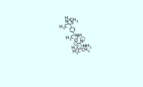 CS/C(=C(/C)N)c1ccc([C@H](C)NC(=O)[C@@H]2CCCN2C(=C2CCC2)[C@@H](N)C(C)(C)C)cc1